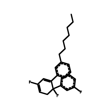 CCCCCCCc1cccc(C2=CC(F)=CCC2(F)c2cccc(F)c2)c1